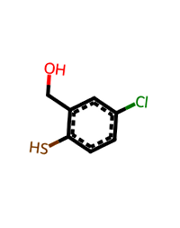 OCc1cc(Cl)ccc1S